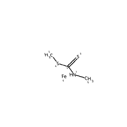 CNC(=S)SC.[Fe]